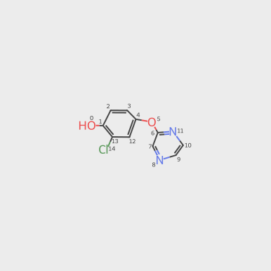 Oc1ccc(Oc2cnccn2)cc1Cl